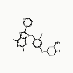 CCCC1CC(Oc2ccc(Cn3c(-c4cccnc4)nc4c(C)nc(C)nc43)c(F)c2)CCN1